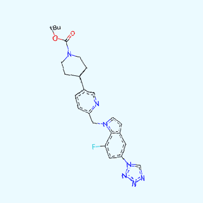 CC(C)(C)OC(=O)N1CCC(c2ccc(Cn3ccc4cc(-n5cnnn5)cc(F)c43)nc2)CC1